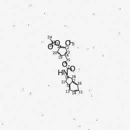 COc1cc(COC(=O)NC2Cc3ccccc3C2)ccc1OC(C)=O